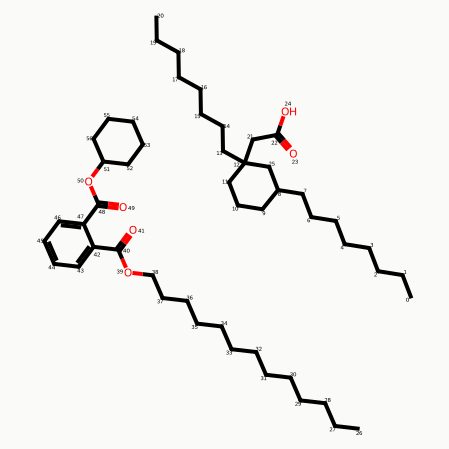 CCCCCCCCC1CCCC(CCCCCCCC)(CC(=O)O)C1.CCCCCCCCCCCCCOC(=O)c1ccccc1C(=O)OC1CCCCC1